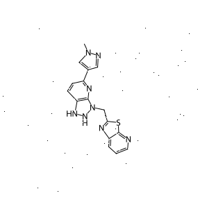 Cn1cc(-c2ccc3c(n2)N(Cc2nc4cccnc4s2)NN3)cn1